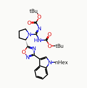 CCCCCCn1cc(-c2noc([C@@H]3CCCN3/C(=N\C(=O)OC(C)(C)C)NC(=O)OC(C)(C)C)n2)c2ccccc21